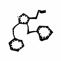 C=CCc1csc(Cc2ccccc2)c1Cc1ccccc1